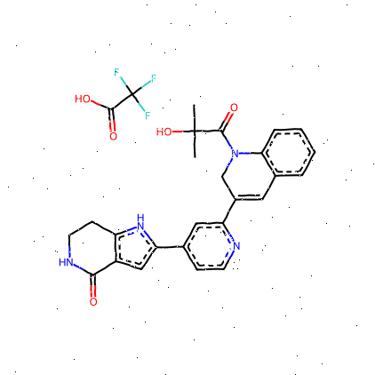 CC(C)(O)C(=O)N1CC(c2cc(-c3cc4c([nH]3)CCNC4=O)ccn2)=Cc2ccccc21.O=C(O)C(F)(F)F